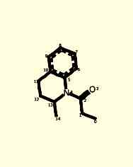 CCC(=O)N1c2ccccc2CCC1C